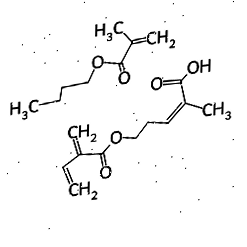 C=C(C)C(=O)OCCCC.C=CC(=C)C(=O)OCCC=C(C)C(=O)O